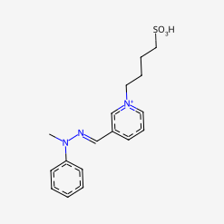 CN(N=Cc1ccc[n+](CCCCS(=O)(=O)O)c1)c1ccccc1